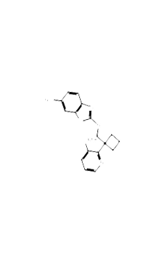 COc1cccnc1C1(CNc2nc3ccc(C#N)cc3s2)CCC1